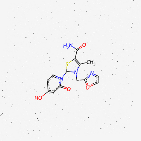 CC1=C(C(N)=O)SC(n2ccc(O)cc2=O)N1Cc1ncco1